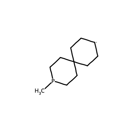 CP1CCC2(CC[CH]CC2)CC1